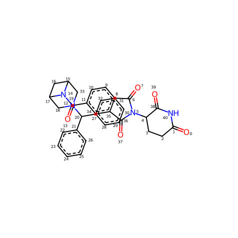 O=C1CCC(N2C(=O)c3ccc(C(=O)N4C5CC4CN(C(c4ccccc4)c4ccccc4)C5)cc3C2=O)C(=O)N1